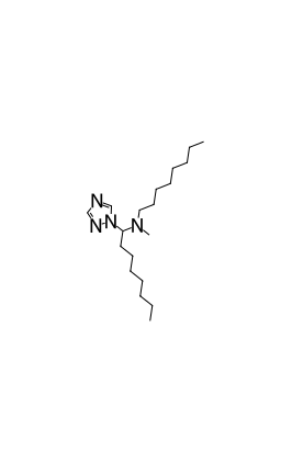 CCCCCCCCN(C)C(CCCCCCC)n1cncn1